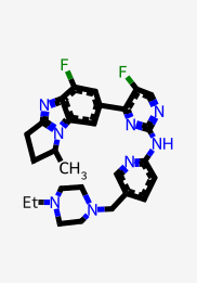 CCN1CCN(Cc2ccc(Nc3ncc(F)c(-c4cc(F)c5nc6n(c5c4)C(C)CC6)n3)nc2)CC1